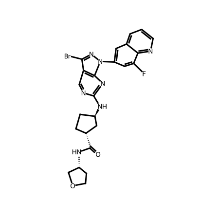 O=C(N[C@@H]1CCOC1)[C@@H]1CC[C@@H](Nc2ncc3c(Br)nn(-c4cc(F)c5ncccc5c4)c3n2)C1